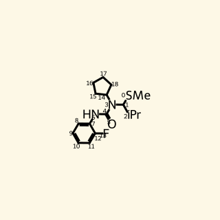 CSC(C(C)C)N(C(=O)Nc1ccccc1F)C1CCCC1